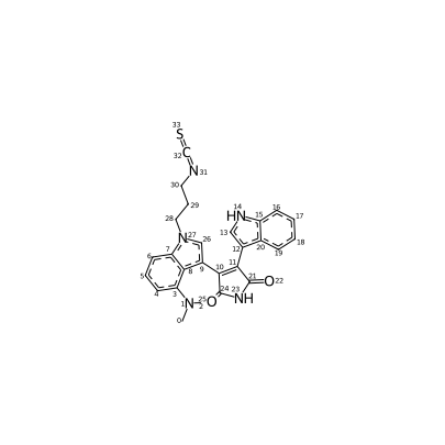 CN(C)c1cccc2c1c(C1=C(c3c[nH]c4ccccc34)C(=O)NC1=O)cn2CCCN=C=S